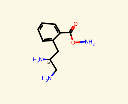 NC[C@@H](N)Cc1ccccc1C(=O)ON